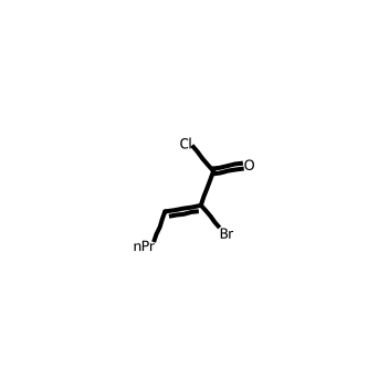 CCC/C=C(\Br)C(=O)Cl